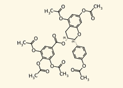 CC(=O)Oc1ccc([C@H]2Oc3cc(OC(C)=O)cc(OC(C)=O)c3C[C@H]2OC(=O)c2cc(OC(C)=O)c(OC(C)=O)c(OC(C)=O)c2)cc1